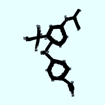 CC(C)Oc1ccc(Nc2ccc(C#N)cc2)c(C(F)(F)F)c1